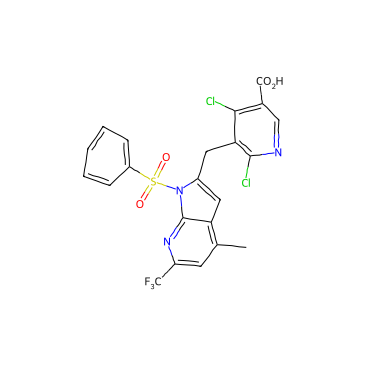 Cc1cc(C(F)(F)F)nc2c1cc(Cc1c(Cl)ncc(C(=O)O)c1Cl)n2S(=O)(=O)c1ccccc1